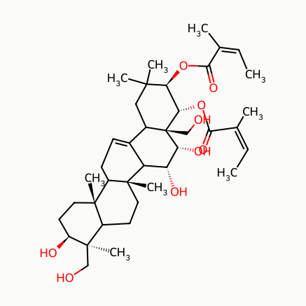 C/C=C(/C)C(=O)O[C@H]1[C@H](OC(=O)/C(C)=C\C)[C@@]2(CO)C(CC1(C)C)C1=CCC3[C@@](C)(CCC4[C@]3(C)CC[C@H](O)[C@]4(C)CO)C1[C@@H](O)[C@H]2O